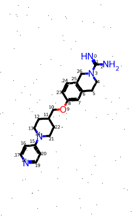 N=C(N)N1CCc2cc(OCC3CCN(c4ccncc4)CC3)ccc2C1